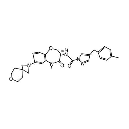 Cc1ccc(Cc2cnn(C(=O)N[C@@H]3COc4ccc(N5CC6(CCOCC6)C5)cc4N(C)C3=O)c2)cc1